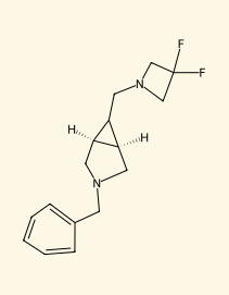 FC1(F)CN(CC2[C@H]3CN(Cc4ccccc4)C[C@@H]23)C1